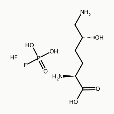 F.NC[C@H](O)CC[C@H](N)C(=O)O.O=P(O)(O)F